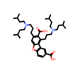 CC(C)CCN(CCCc1cc2oc3ccc(C(=O)O)cc3c2c(CCCN(CCC(C)C)CCC(C)C)c1C(=O)O)CCC(C)C